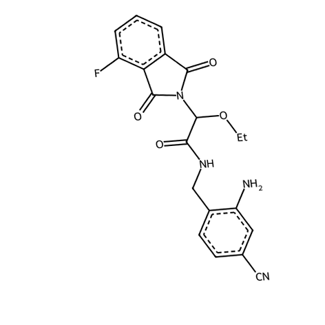 CCOC(C(=O)NCc1ccc(C#N)cc1N)N1C(=O)c2cccc(F)c2C1=O